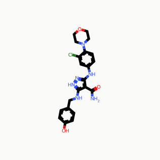 NC(=O)c1c(Nc2ccc(N3CCOCC3)c(Cl)c2)n[nH]c1NCc1ccc(O)cc1